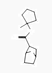 CC1(OC(=O)C2CC3CCC2O3)CCCC1